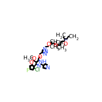 C=C/C=C(\C=C)C(=O)CCC(C)(C)OCC(C)(C)OCCn1cc(COCC2=C(C(=O)OC)C(c3ccc(F)cc3Cl)N=C(c3ccncc3)N2)nn1